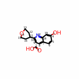 O=CO.Oc1ccc2ccc(C3CCOCC3)nc2c1